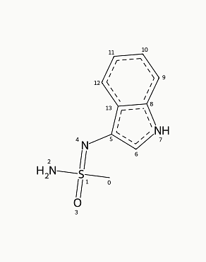 CS(N)(=O)=Nc1c[nH]c2ccccc12